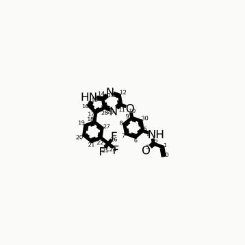 C=CC(=O)Nc1cccc(Oc2cnc3[nH]cc(-c4cccc(C(F)(F)F)c4)c3n2)c1